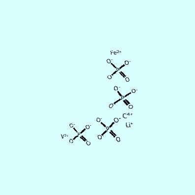 O=P([O-])([O-])[O-].O=P([O-])([O-])[O-].O=P([O-])([O-])[O-].O=P([O-])([O-])[O-].[C+4].[Fe+2].[Li+].[V+5]